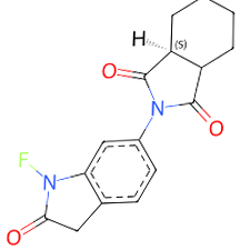 O=C1Cc2ccc(N3C(=O)C4CCCC[C@@H]4C3=O)cc2N1F